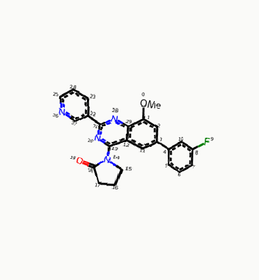 COc1cc(-c2cccc(F)c2)cc2c(N3CCCC3=O)nc(-c3cccnc3)nc12